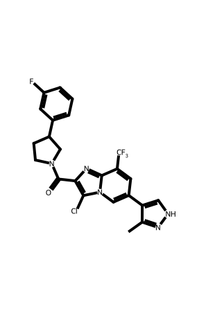 Cc1n[nH]cc1-c1cc(C(F)(F)F)c2nc(C(=O)N3CCC(c4cccc(F)c4)C3)c(Cl)n2c1